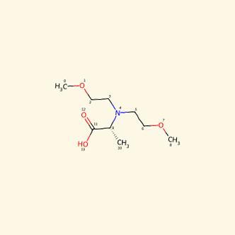 COCCN(CCOC)[C@H](C)C(=O)O